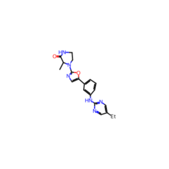 CCc1cnc(Nc2cccc(-c3cnc(N4CCNC(=O)C4C)o3)c2)nc1